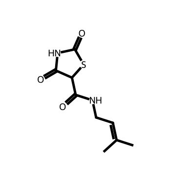 CC(C)=CCNC(=O)C1SC(=O)NC1=O